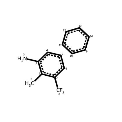 Cc1c(N)cccc1C(F)(F)F.c1ccccc1